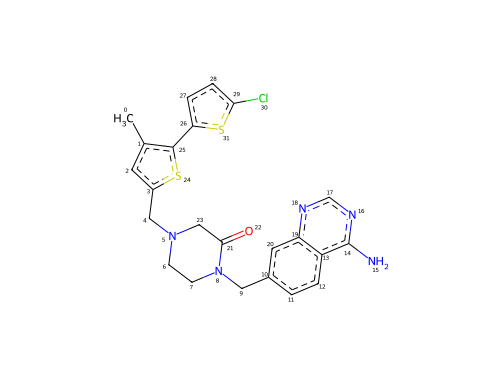 Cc1cc(CN2CCN(Cc3ccc4c(N)ncnc4c3)C(=O)C2)sc1-c1ccc(Cl)s1